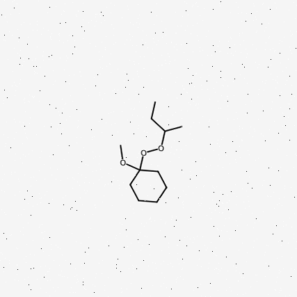 CCC(C)OOC1(OC)CCCCC1